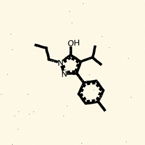 CCCn1nc(-c2ccc(C)cc2)c(C(C)C)c1O